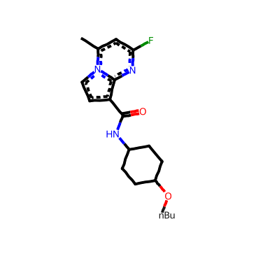 CCCCOC1CCC(NC(=O)c2ccn3c(C)cc(F)nc23)CC1